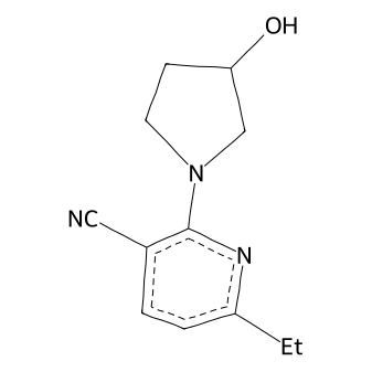 CCc1ccc(C#N)c(N2CCC(O)C2)n1